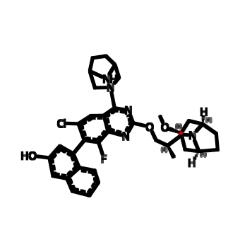 CO[C@H]1C[C@H]2CC[C@@H](C1)N2C[C@@H](C)COc1nc(N2CC3CCC(C2)N3)c2cc(Cl)c(-c3cc(O)cc4ccccc34)c(F)c2n1